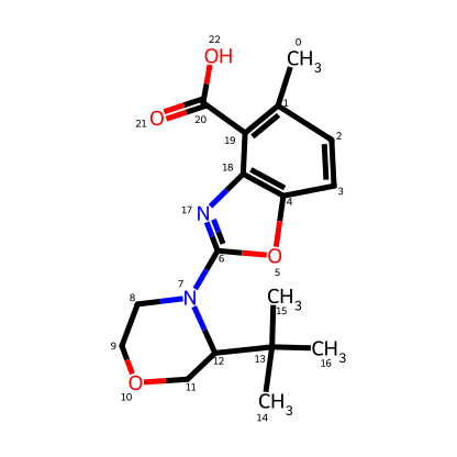 Cc1ccc2oc(N3CCOCC3C(C)(C)C)nc2c1C(=O)O